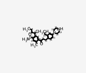 C=C(C(=O)CC)c1cc(C(=O)CCc2ccc(N3CCNCC3)cc2CC)c(C)cc1SN